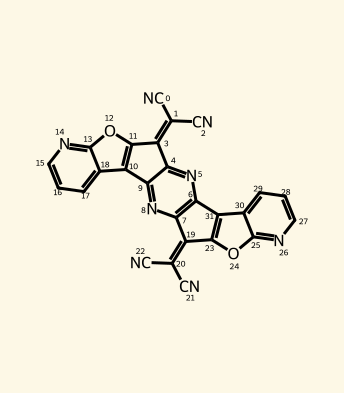 N#CC(C#N)=C1c2nc3c(nc2-c2c1oc1ncccc21)C(=C(C#N)C#N)c1oc2ncccc2c1-3